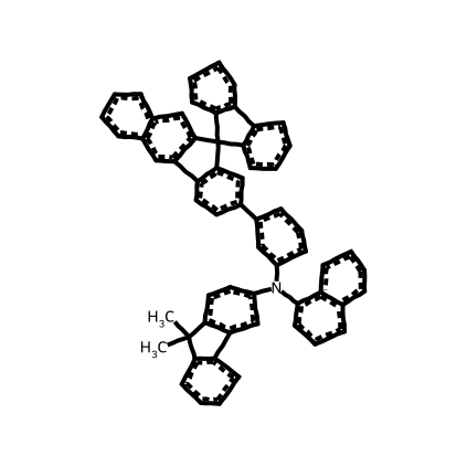 CC1(C)c2ccccc2-c2cc(N(c3cccc(-c4ccc5c(c4)C4(c6ccccc6-c6ccccc64)c4cc6ccccc6cc4-5)c3)c3cccc4ccccc34)ccc21